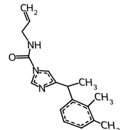 C=CCNC(=O)n1cnc(C(C)c2cccc(C)c2C)c1